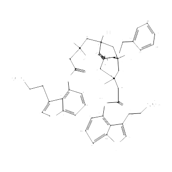 CNCCc1coc2cccc(OC(=O)CC(C)(C)CC(C)(C)CC(C)(C)CC(C)(CC(=O)OCc3ccccc3)CC(=O)Oc3cccc4occ(CCNC)c34)c12